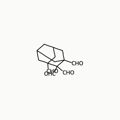 O=CC12CC3CC(C1)CC(C=O)(C3)C2(C=O)C=O